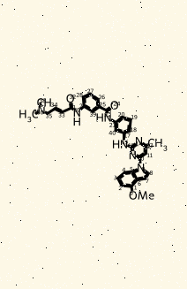 COc1cccc2c1ccn2-c1cc(C)nc(Nc2cccc(NC(=O)c3cccc(NC(=O)C=CCN(C)C)c3)c2)n1